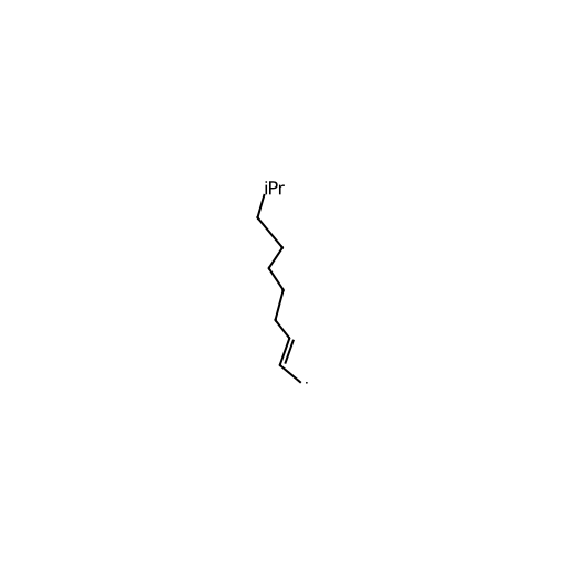 [CH2]/C=C/CCCCCC(C)C